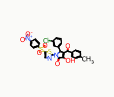 Cc1ccc(C(=O)C2=C(O)C(=O)N(c3ncc(S(=O)(=O)c4ccc([N+](=O)[O-])cc4)s3)C2c2cccc(Cl)c2)cc1